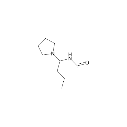 CCCC(N[C]=O)N1CCCC1